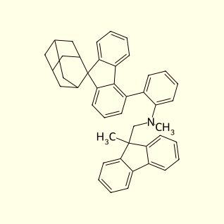 CN(CC1(C)c2ccccc2-c2ccccc21)c1ccccc1-c1cccc2c1-c1ccccc1C21C2CC3CC(C2)CC1C3